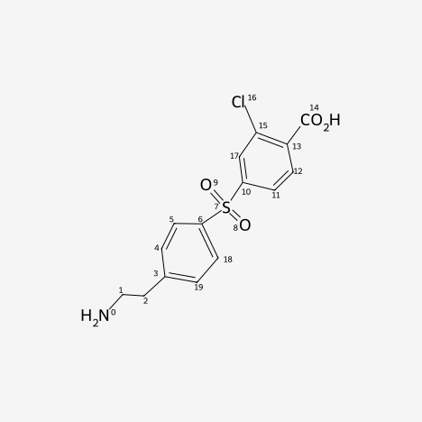 NCCc1ccc(S(=O)(=O)c2ccc(C(=O)O)c(Cl)c2)cc1